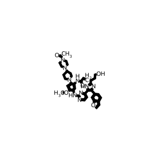 C=CC(=O)Nc1cc(Nc2nccc(-c3[nH]c(CCCO)nc3-c3ccc4ccoc4c3)n2)c(OC)cc1N1CCC(N2CCN(C(C)=O)CC2)CC1